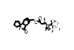 C=C(C)N(N)NCC(=O)OCC1CC2CC1C1C(=O)OC3(CCCC3)C21